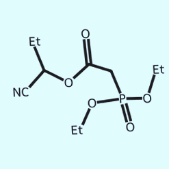 CCOP(=O)(CC(=O)OC(C#N)CC)OCC